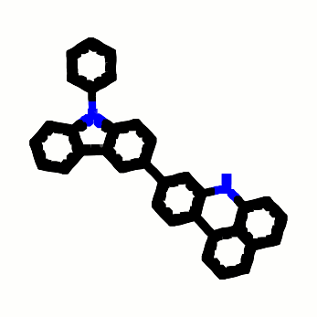 c1ccc(-n2c3ccccc3c3cc(-c4ccc5c(c4)Nc4cccc6cccc-5c46)ccc32)cc1